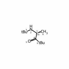 C[C@H](NC(C)(C)C)C(=O)C(C)(C)C